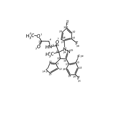 COC(=O)CNC(=O)C1(C)C(c2ccsc2)C(c2ccc(F)cc2F)=NN1c1ccc(F)cc1F